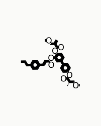 C=C(COC)C(=O)Oc1ccc(-c2ccc(OC(=O)[C@@H](C)COC)cc2)cc1OC(=O)/C=C/c1ccc(CCC)cc1